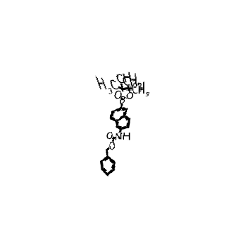 CC1(C)OB(c2ccc3cc(NC(=O)OCc4ccccc4)ccc3c2)OC1(C)C